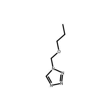 CCCOCn1cnnn1